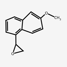 COc1ccc2c(C3CO3)cccc2c1